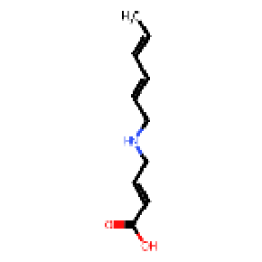 CC=CC=CCNCC=CC(=O)O